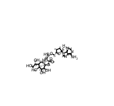 C[C@]1(n2cnc3c(N)ncnc32)CC[C@@H](COP(=O)(S)OP(=O)(O)OC2OCC([C@@H](O)CO)C(O)C(O)C2O)O1